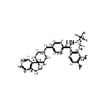 CC(C)(C)[S+]([O-])NC(c1ccc(F)c(F)c1)c1ccc(CN2CCC3(CC2)OCc2ccncc23)cn1